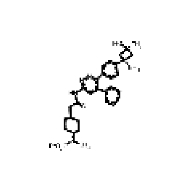 CCOC(=O)N(C)C1CCC(CC(=O)Nc2cc(-c3ccccc3)c(-c3ccc([C@]4(N)C[C@](C)(O)C4)cc3)nn2)CC1